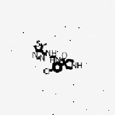 C[C@@H]1SCc2ncnc(NCCNC(=O)C3(c4ccc(Cl)cc4)CCNCC3)c21